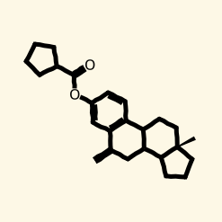 C=C1CC2C(CC[C@]3(C)CCCC23)c2ccc(OC(=O)C3CCCC3)cc21